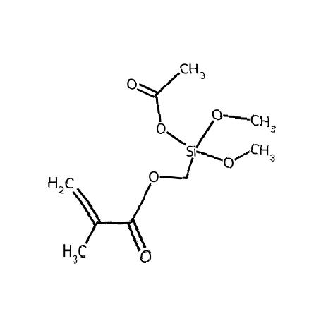 C=C(C)C(=O)OC[Si](OC)(OC)OC(C)=O